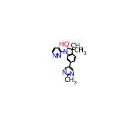 Cc1ncc(-c2ccc3c(c2)N(c2cccnn2)[C@H](O)C3(C)C)cn1